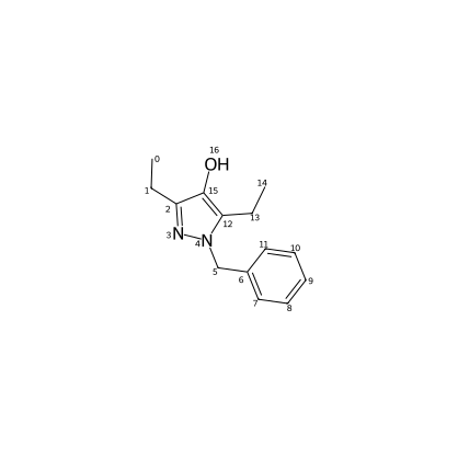 CCc1nn(Cc2ccccc2)c(CC)c1O